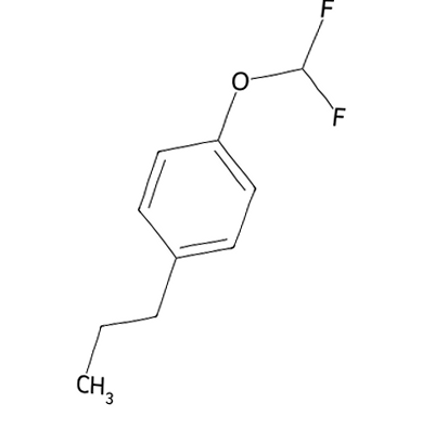 CCCc1ccc(OC(F)F)cc1